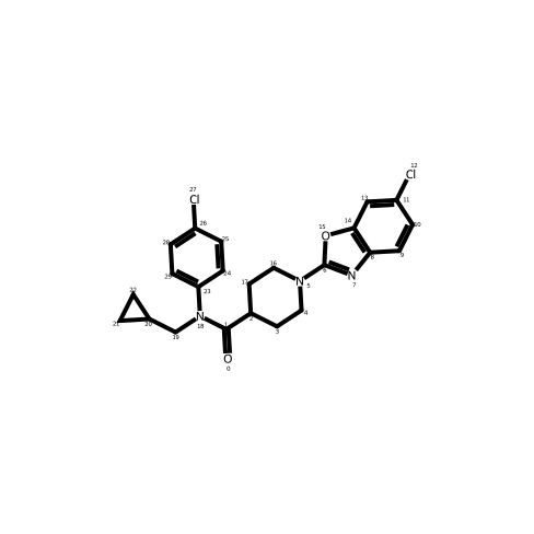 O=C(C1CCN(c2nc3ccc(Cl)cc3o2)CC1)N(CC1CC1)c1ccc(Cl)cc1